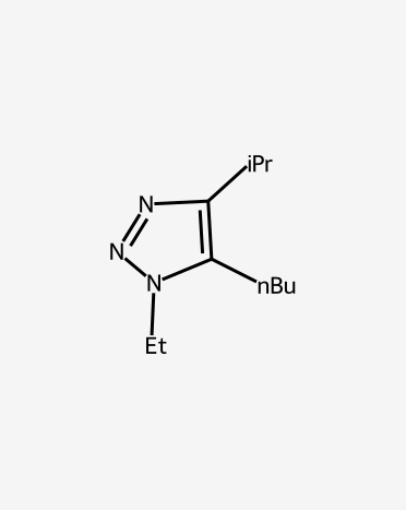 CCCCc1c(C(C)C)nnn1CC